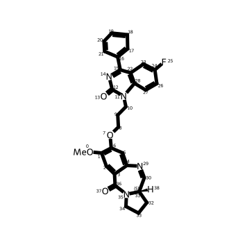 COc1cc2c(cc1OCCCn1c(=O)nc(-c3ccccc3)c3cc(F)ccc31)N=C[C@@H]1CCCN1C2=O